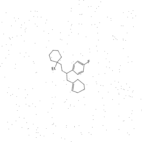 CCC1(CCC(CC2=CCCCC2)c2ccc(F)cc2)CCCCC1